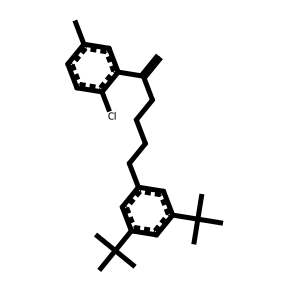 C=C(CCCCc1cc(C(C)(C)C)cc(C(C)(C)C)c1)c1cc(C)ccc1Cl